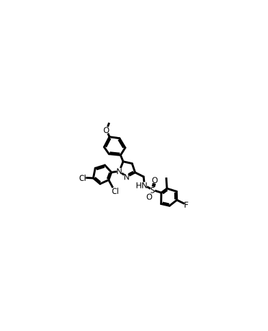 COc1ccc(C2CC(CNS(=O)(=O)c3ccc(F)cc3C)=NN2c2ccc(Cl)cc2Cl)cc1